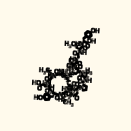 CSC[C@H](NC(=O)CNC(=O)[C@@H](NC(=O)[C@H](CSC)NC(=O)[C@H](C)NC(=O)[C@@H]1CCCN1C(=O)[C@H](CC(N)=O)NC(=O)[C@@H]1CSSC[C@H](N)C(=O)N[C@@H](CSC)C(=O)N[C@@H](CCC(=O)O)C(=O)N[C@@H](Cc2ccc(O)cc2)C(=O)N[C@@H](CSC)C(=O)N1)[C@@H](C)O)C(=O)N[C@@H](Cc1ccc(O)cc1)C(=O)O